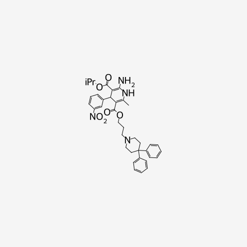 CC1=C(C(=O)OCCCN2CCC(c3ccccc3)(c3ccccc3)CC2)C(c2cccc([N+](=O)[O-])c2)C(C(=O)OC(C)C)=C(N)N1